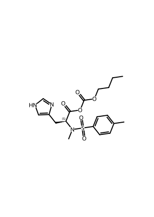 CCCCOC(=O)OC(=O)[C@H](Cc1c[nH]cn1)N(C)S(=O)(=O)c1ccc(C)cc1